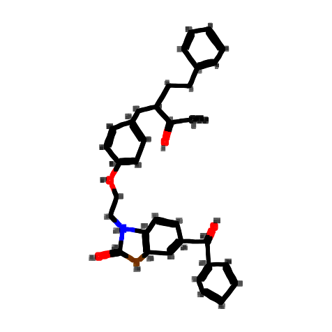 COC(=O)C(CCc1ccccc1)Cc1ccc(OCCn2c(=O)sc3cc(C(=O)c4ccccc4)ccc32)cc1